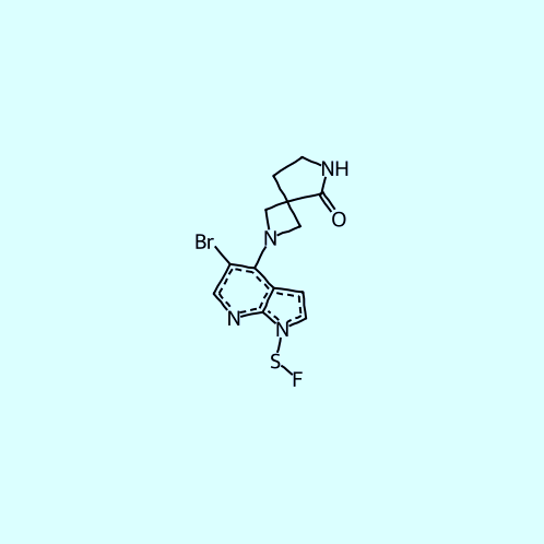 O=C1NCCC12CN(c1c(Br)cnc3c1ccn3SF)C2